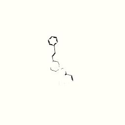 O=C(O)/C=C\C(=O)ON1CCOC(C=Cc2ccccc2)C1